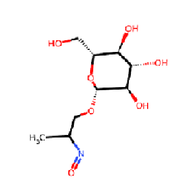 CC(CO[C@@H]1O[C@H](CO)[C@@H](O)[C@H](O)[C@H]1O)N=O